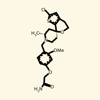 COc1cc(OCC(N)=O)ccc1CN1CC[C@@]2(C[C@H]1C)OCCc1cc(Cl)sc12